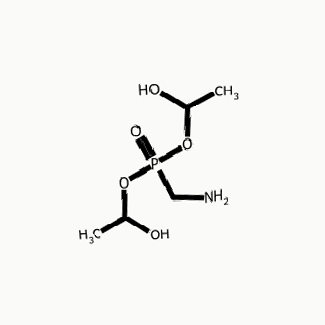 CC(O)OP(=O)(CN)OC(C)O